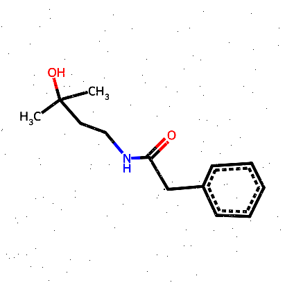 CC(C)(O)CCNC(=O)[CH]c1ccccc1